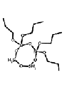 CCCO[Si]1(OCCC)O[SiH2]O[SiH2]O[Si](OCCC)(OCCC)O1